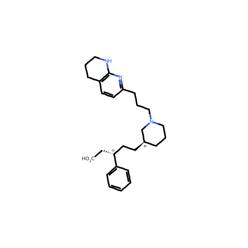 O=C(O)C[C@H](CC[C@@H]1CCCN(CCCc2ccc3c(n2)NCCC3)C1)c1ccccc1